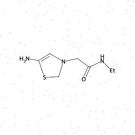 [CH2]CNC(=O)CN1C=C(N)SC1